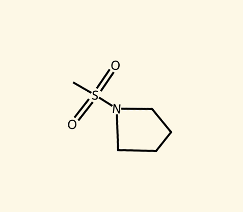 CS(=O)(=O)N1CCCC1